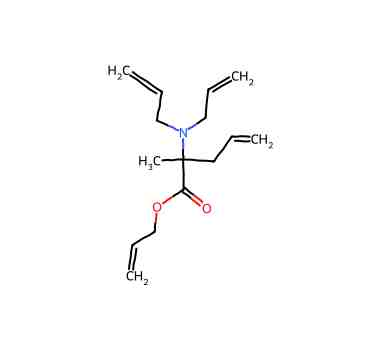 C=CCOC(=O)C(C)(CC=C)N(CC=C)CC=C